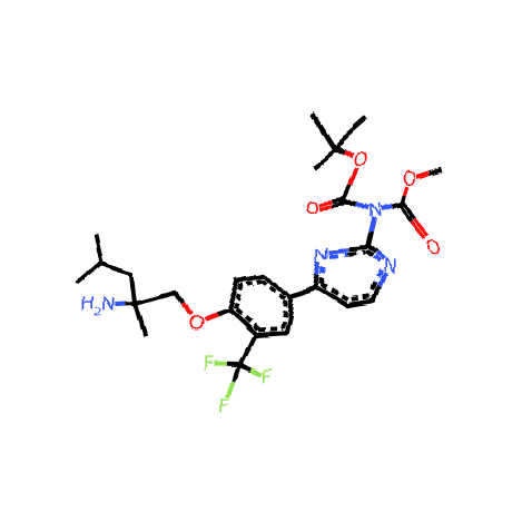 COC(=O)N(C(=O)OC(C)(C)C)c1nccc(-c2ccc(OCC(C)(N)CC(C)C)c(C(F)(F)F)c2)n1